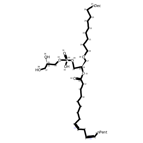 CCCCC/C=C\C/C=C\CCCCCCCC(=O)O[C@H](COCCCCCCCCCCCCCCCCCC)COP(=O)(O)OC[C@@H](O)CO